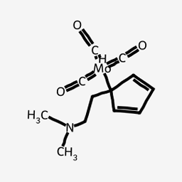 CN(C)CC[C]1([MoH](=[C]=O)(=[C]=O)=[C]=O)C=CC=C1